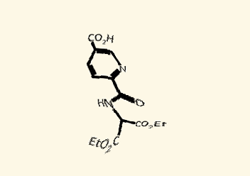 CCOC(=O)C(NC(=O)c1ccc(C(=O)O)cn1)C(=O)OCC